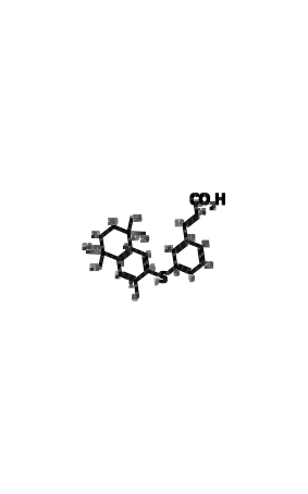 Cc1cc2c(cc1Sc1cccc(C=CC(=O)O)c1)C(C)(C)CCC2(C)C